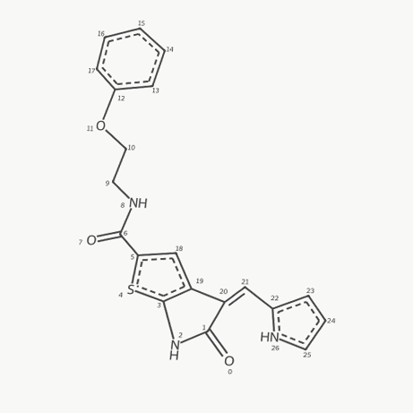 O=C1Nc2sc(C(=O)NCCOc3ccccc3)cc2C1=Cc1ccc[nH]1